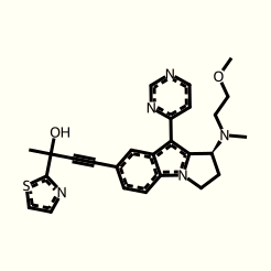 COCCN(C)[C@H]1CCn2c1c(-c1ccncn1)c1cc(C#CC(C)(O)c3nccs3)ccc12